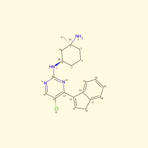 C[C@]1(N)CCC[C@@H](Nc2ncc(Cl)c(C3=CCc4ccccc43)n2)C1